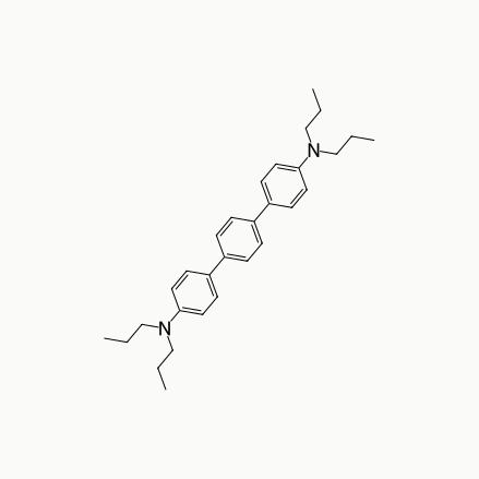 CCCN(CCC)c1ccc(-c2ccc(-c3ccc(N(CCC)CCC)cc3)cc2)cc1